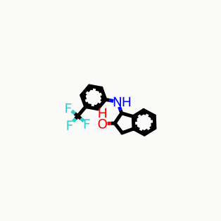 OC1Cc2ccccc2C1Nc1cccc(C(F)(F)F)c1